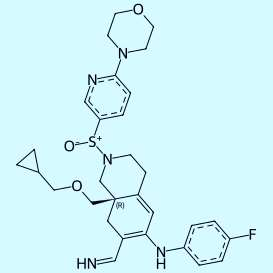 N=CC1=C(Nc2ccc(F)cc2)C=C2CCN([S+]([O-])c3ccc(N4CCOCC4)nc3)C[C@@]2(COCC2CC2)C1